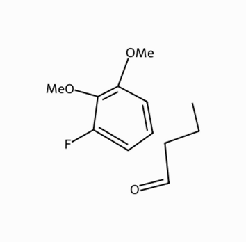 CCCC=O.COc1cccc(F)c1OC